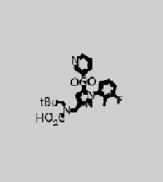 Cc1c(F)cccc1-n1nc(CN(CC(C)(C)C)C(=O)O)cc1S(=O)(=O)c1cccnc1